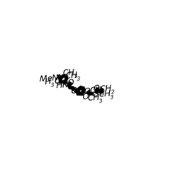 C=C(C)C(=O)OC(C)(C)C(=O)Oc1ccc(OCCC(=O)NC2CC(C)(C)CC(C)(CNC)C2)cc1